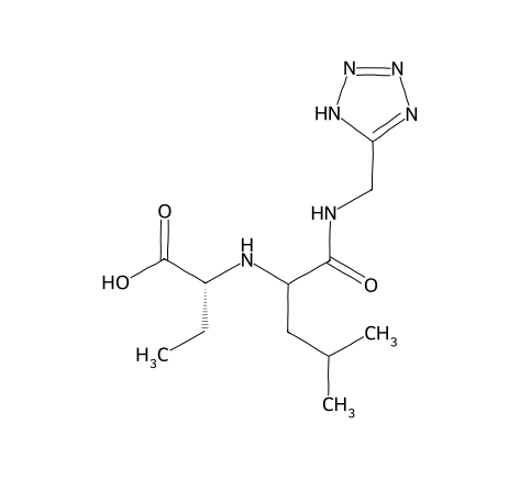 CC[C@@H](NC(CC(C)C)C(=O)NCc1nnn[nH]1)C(=O)O